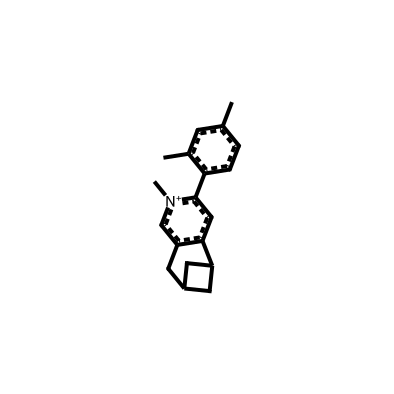 Cc1ccc(-c2cc3c(c[n+]2C)CC2CC3C2)c(C)c1